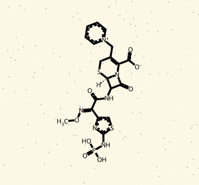 CO/N=C(/C(=O)NC1C(=O)N2C(C(=O)[O-])=C(C[n+]3ccccc3)CS[C@H]12)c1csc(NP(=O)(O)O)n1